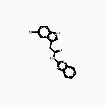 O=C(Cc1c[nH]c2ccc(Cl)cc12)Nc1nc2ccccc2s1